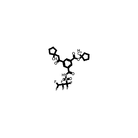 CC1(CC(=O)c2cc(C(=O)NS(=O)(=O)C(F)(F)C(F)(F)C(F)F)cc(C(=O)OC3(C)CCCC3)c2)CCCC1